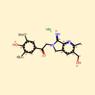 Br.COc1cc(C(=O)CN2Cc3cc(CO)c(C)nc3C2=N)cc(C(C)(C)C)c1O